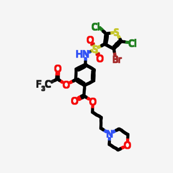 O=C(OCCCN1CCOCC1)c1ccc(NS(=O)(=O)c2c(Cl)sc(Cl)c2Br)cc1OC(=O)C(F)(F)F